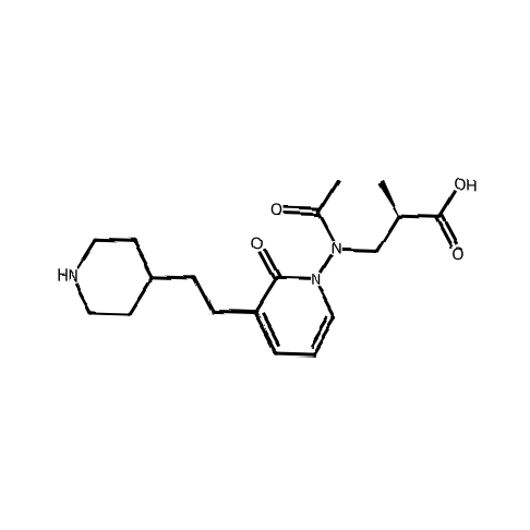 CC(=O)N(C[C@@H](C)C(=O)O)n1cccc(CCC2CCNCC2)c1=O